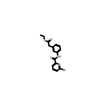 CCOC(=O)Cc1cccc(NC(=O)c2cccc(Br)n2)c1